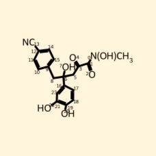 CN(O)C(=O)C(=O)CC(O)(Cc1ccc(C#N)cc1)c1ccc(O)c(O)c1